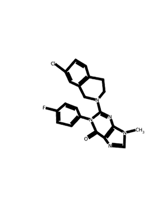 Cn1cnc2c(=O)n(-c3ccc(F)cc3)c(N3CCc4ccc(Cl)cc4C3)nc21